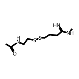 CNC(=N)CCCSSCCNC(C)=O